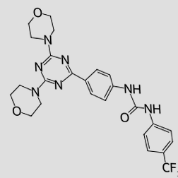 O=C(Nc1ccc(-c2nc(N3CCOCC3)nc(N3CCOCC3)n2)cc1)Nc1ccc(C(F)(F)F)cc1